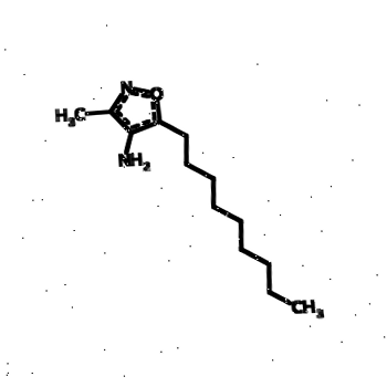 CCCCCCCCCc1onc(C)c1N